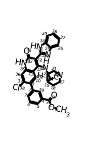 COC(=O)c1cccc(-c2cc3c(N[C@H]4CN5CCC4CC5)c(-c4nc5ccccc5[nH]4)c(=O)[nH]c3cc2Cl)c1